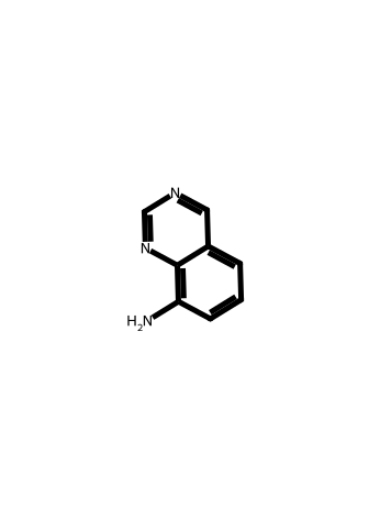 Nc1cccc2cncnc12